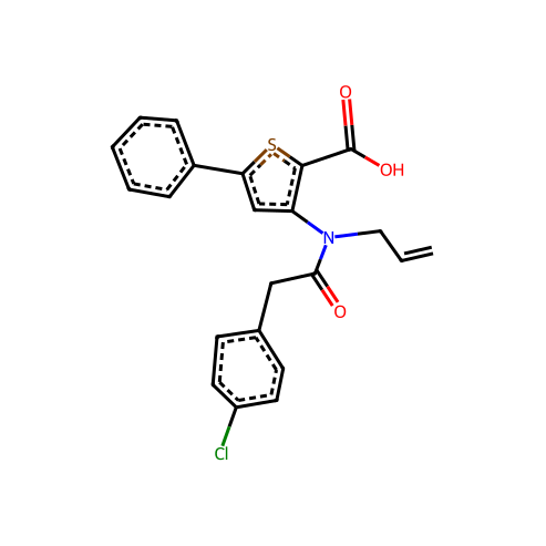 C=CCN(C(=O)Cc1ccc(Cl)cc1)c1cc(-c2ccccc2)sc1C(=O)O